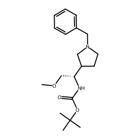 COC[C@@H](NC(=O)OC(C)(C)C)C1CCN(Cc2ccccc2)C1